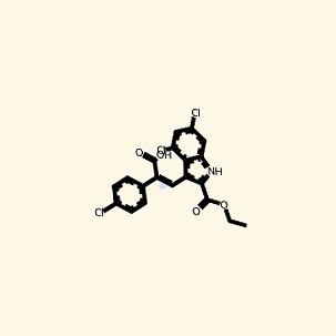 CCOC(=O)c1[nH]c2cc(Cl)cc(Cl)c2c1/C=C(\C(=O)O)c1ccc(Cl)cc1